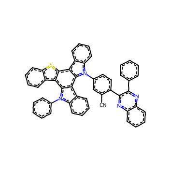 N#Cc1cc(-n2c3ccccc3c3c4sc5ccccc5c4c4c(c5ccccc5n4-c4ccccc4)c32)ccc1-c1nc2ccccc2nc1-c1ccccc1